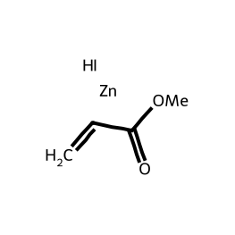 C=CC(=O)OC.I.[Zn]